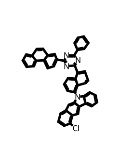 Clc1cccc2cc3c(cc12)c1ccccc1n3-c1cccc2c(-c3nc(-c4ccccc4)nc(-c4ccc5c(ccc6ccccc65)c4)n3)cccc12